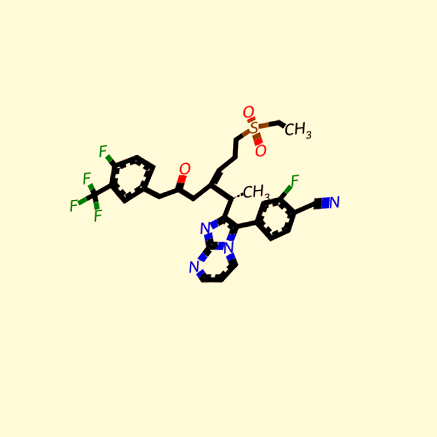 CCS(=O)(=O)CC/C=C(/CC(=O)Cc1ccc(F)c(C(F)(F)F)c1)[C@H](C)c1nc2ncccn2c1-c1ccc(C#N)c(F)c1